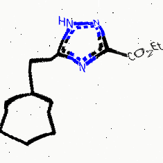 CCOC(=O)c1n[nH]c(CC2CCCCC2)n1